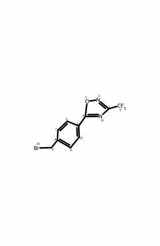 FC(F)(F)c1noc(-c2ccc(CBr)cc2)n1